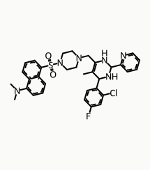 CC1=C(CN2CCN(S(=O)(=O)c3cccc4c(N(C)C)cccc34)CC2)NC(c2ccccn2)NC1c1ccc(F)cc1Cl